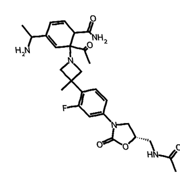 CC(=O)NC[C@H]1CN(c2ccc(C3(C)CN(C4(C(C)=O)C=C(C(C)N)C=CC4C(N)=O)C3)c(F)c2)C(=O)O1